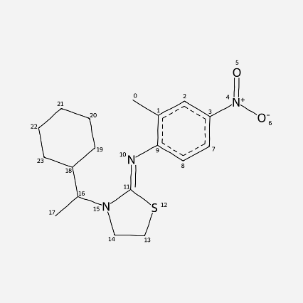 Cc1cc([N+](=O)[O-])ccc1N=C1SCCN1C(C)C1CCCCC1